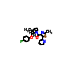 Cc1nc(C(=O)N2C3CC(C3)[C@@H](C)[C@@H]2COc2ccc(F)cc2)c(-c2ccccn2)s1